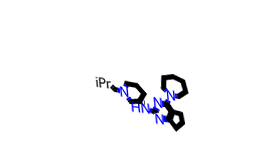 CC(C)CN1CCC[C@@H](Nc2nc3c(c(N4CCCCCC4)n2)CCC3)C1